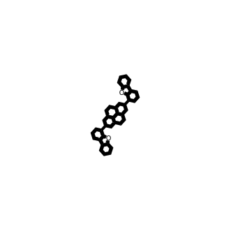 c1ccc2c(c1)oc1c(-c3cc4ccc5cc(-c6cccc7c6oc6ccccc67)cc6ccc(c3)c4c56)cccc12